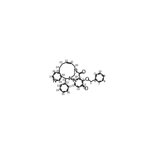 O=C1c2c(OCc3ccccc3)c(=O)ccn2N2CN1C/C=C\CCc1ccncc1C2c1ccccc1